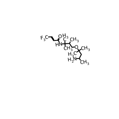 CC(N)CC(C)(C)OCC(C)C(C)(C)NC(=O)/C=C/C(F)(F)F